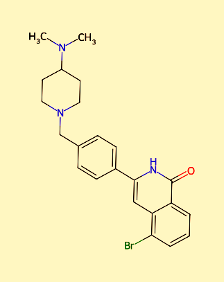 CN(C)C1CCN(Cc2ccc(-c3cc4c(Br)cccc4c(=O)[nH]3)cc2)CC1